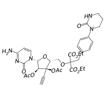 C#C[C@@]1(OC(C)=O)[C@@H](COC(Cc2ccc(N3CCCNC3=O)cc2)(C(=O)OCC)C(=O)OCC)O[C@@H](n2ccc(N)nc2=O)[C@@H]1OC(C)=O